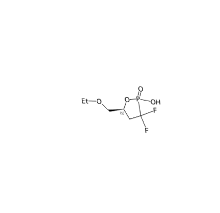 CCOC[C@@H]1CC(F)(F)P(=O)(O)O1